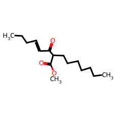 CCCC=CC(=O)C(CCCCCCC)C(=O)OC